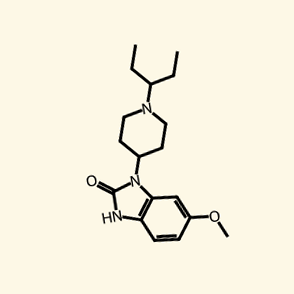 CCC(CC)N1CCC(n2c(=O)[nH]c3ccc(OC)cc32)CC1